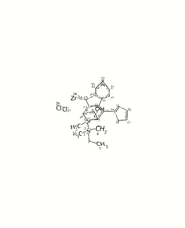 CC[Si](C)(C)[Si]1(C)c2c(O)c1c1c(c2C2=CC=CC2)-c2ccccc2[CH]1[Zr+2].[Cl-].[Cl-]